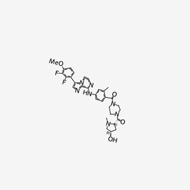 COc1ccc(-c2cnc3c(Nc4ccc(C(=O)N5CCN(C(=O)[C@@H]6C[C@@H](O)CN6C)CC5)c(C)c4)nccn23)c(F)c1F